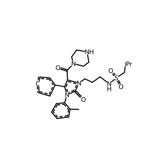 Cc1ccccc1-n1c(-c2ccccc2)c(C(=O)N2CCNCC2)n(CCCNS(=O)(=O)CC(C)C)c1=O